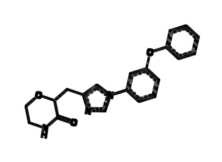 O=C1NCCOC1Cc1cn(-c2cccc(Oc3ccccc3)c2)cn1